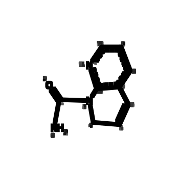 NC(=O)N1CC=Cc2cccnc21